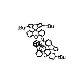 CC(C)(C)C1=CC2=C(CC1)OC1=C(CC(C(C)(C)C)C=C1)C21c2ccccc2-c2ccc(N(c3cccc4c3Oc3ccccc3C43c4cc(C(C)(C)C)ccc4-c4ccc(C(C)(C)C)cc43)c3cccc4c3sc3ccccc34)cc21